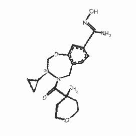 CC1(C(=O)N2Cc3ccc(C(N)=NO)cc3OC[C@@H]2C2CC2)CCOCC1